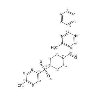 Cc1nc(-c2ccccc2)ncc1C(=O)N1CCC(S(=O)(=O)c2ccc(Cl)cc2)CC1